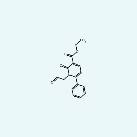 CCOC(=O)c1cnc(-c2ccccc2)n(CC=O)c1=O